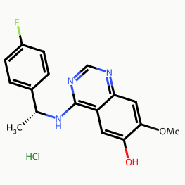 COc1cc2ncnc(N[C@H](C)c3ccc(F)cc3)c2cc1O.Cl